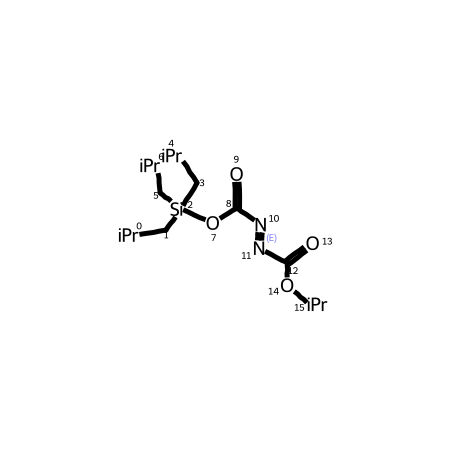 CC(C)C[Si](CC(C)C)(CC(C)C)OC(=O)/N=N/C(=O)OC(C)C